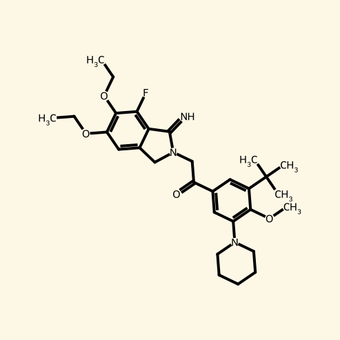 CCOc1cc2c(c(F)c1OCC)C(=N)N(CC(=O)c1cc(N3CCCCC3)c(OC)c(C(C)(C)C)c1)C2